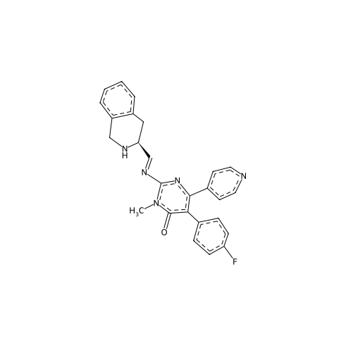 Cn1c(N=C[C@@H]2Cc3ccccc3CN2)nc(-c2ccncc2)c(-c2ccc(F)cc2)c1=O